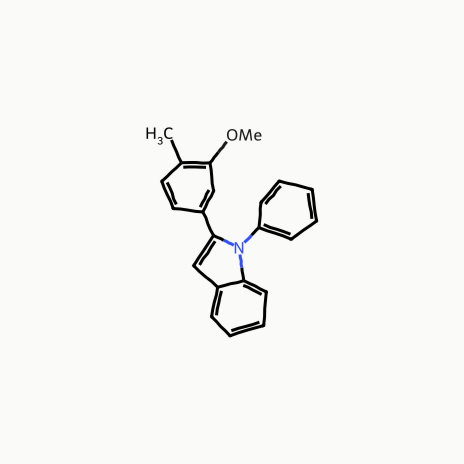 COc1cc(-c2cc3ccccc3n2-c2ccccc2)ccc1C